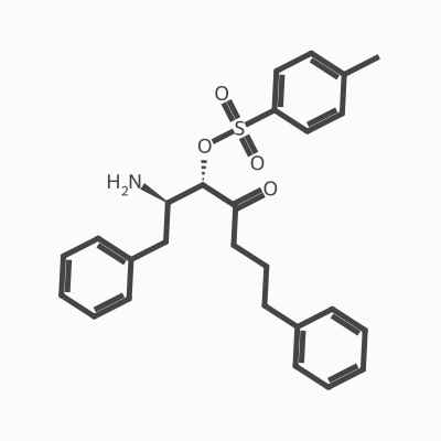 Cc1ccc(S(=O)(=O)O[C@H](C(=O)CCCc2ccccc2)[C@H](N)Cc2ccccc2)cc1